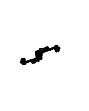 C=CC(=O)OCCC#CCCCOc1ccc(C(F)(F)Oc2ccc(OC(F)(F)c3ccc(OCCCC#CCCOC(=O)C=C)cc3)c(C(F)(F)F)c2)cc1